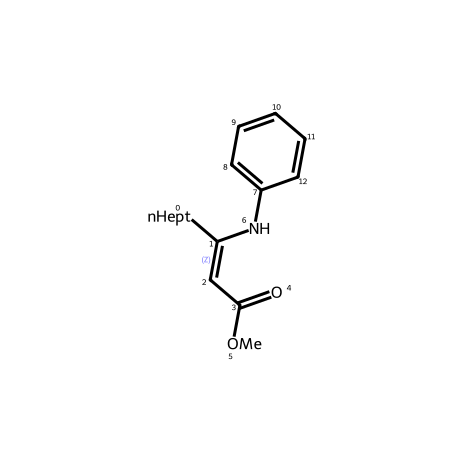 CCCCCCC/C(=C/C(=O)OC)Nc1ccccc1